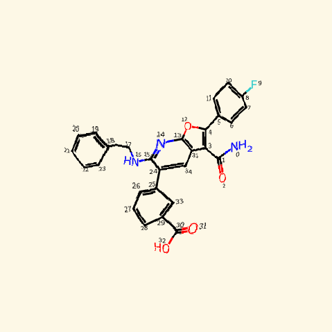 NC(=O)c1c(-c2ccc(F)cc2)oc2nc(NCc3ccccc3)c(-c3cccc(C(=O)O)c3)cc12